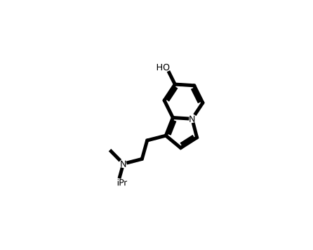 CC(C)N(C)CCc1ccn2ccc(O)cc12